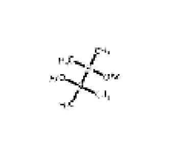 CC(=O)O[Si](C)(C)[Si](C)(C)OC(C)=O